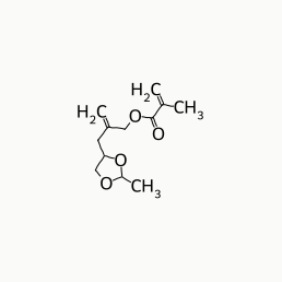 C=C(COC(=O)C(=C)C)CC1COC(C)O1